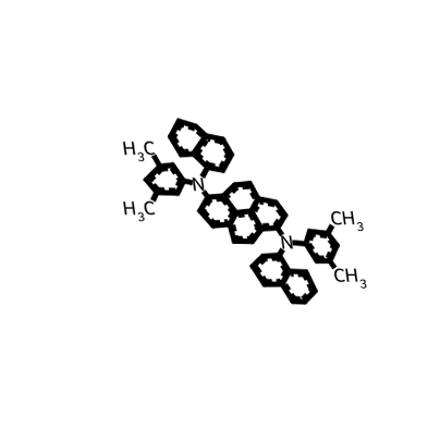 Cc1cc(C)cc(N(c2cccc3ccccc23)c2ccc3ccc4c(N(c5cc(C)cc(C)c5)c5cccc6ccccc56)ccc5ccc2c3c54)c1